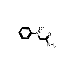 NC(=O)C[S+]([O-])c1ccccc1